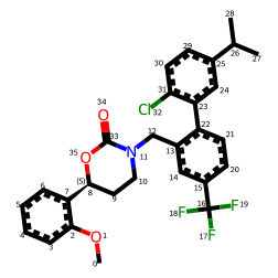 COc1ccccc1[C@@H]1CCN(Cc2cc(C(F)(F)F)ccc2-c2cc(C(C)C)ccc2Cl)C(=O)O1